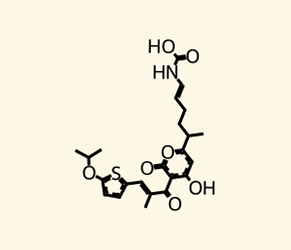 CC(=Cc1ccc(OC(C)C)s1)C(=O)c1c(O)cc(C(C)CCC=CNC(=O)O)oc1=O